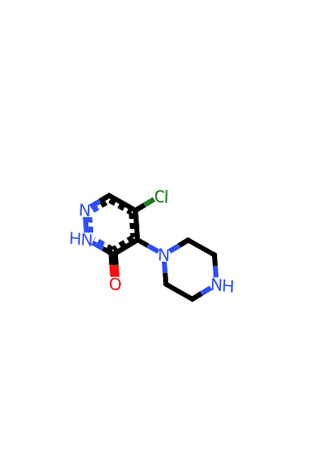 O=c1[nH]ncc(Cl)c1N1CCNCC1